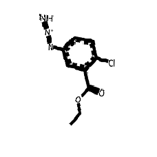 CCOC(=O)c1cc(N=[N+]=N)ccc1Cl